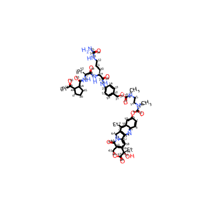 CCc1c2c(nc3ccc(OC(=O)N(C)CCN(C)C(=O)OCc4ccc(NC(=O)[C@H](CCCNC(N)=O)NC(=O)[C@@H](NC(=O)C5CCCC5C(=O)C(C)C)C(C)C)cc4)cc13)-c1cc3c(c(=O)n1C2)COC(=O)[C@]3(O)CC